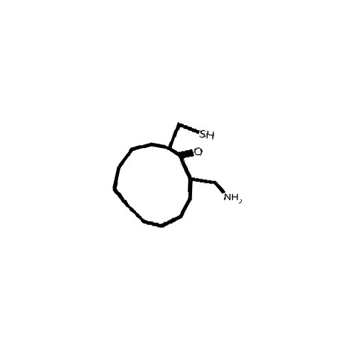 NCC1CCCCCCCCCC(CS)C1=O